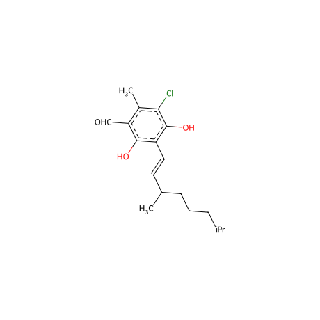 Cc1c(Cl)c(O)c(C=CC(C)CCCC(C)C)c(O)c1C=O